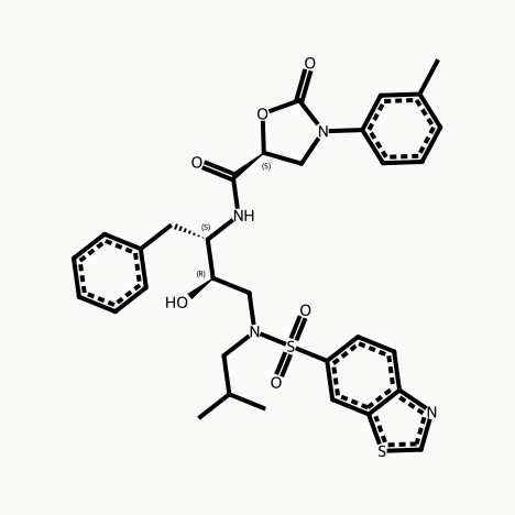 Cc1cccc(N2C[C@@H](C(=O)N[C@@H](Cc3ccccc3)[C@H](O)CN(CC(C)C)S(=O)(=O)c3ccc4ncsc4c3)OC2=O)c1